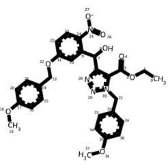 CCOC(=O)c1c(C(O)c2cc(OCc3ccc(OC)cc3)ccc2[N+](=O)[O-])nnn1Cc1ccc(OC)cc1